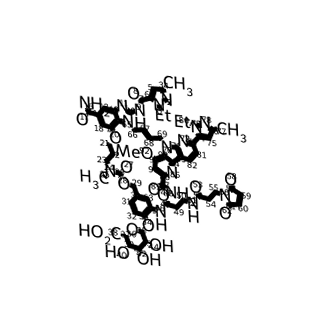 CCn1nc(C)cc1C(=O)Nc1nc2cc(C(N)=O)cc(OCCCN(C)C(=O)OCc3ccc(O[C@@H]4O[C@H](C(=O)O)[C@@H](O)[C@H](O)[C@H]4O)c(NC(=O)CCNC(=O)CCN4C(=O)C=CC4=O)c3)c2n1C/C=C/Cn1c2nc(-c3cc(C)nn3CC)ccc2c2nc(C(N)=O)cc(OC)c21